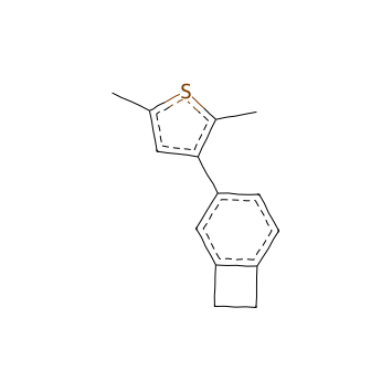 Cc1cc(-c2ccc3c(c2)CC3)c(C)s1